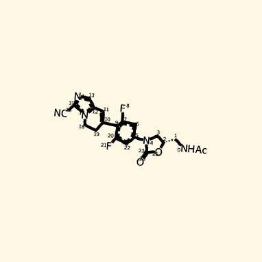 CC(=O)NC[C@H]1CN(c2cc(F)c(C3=Cc4cnc(C#N)n4CC3)c(F)c2)C(=O)O1